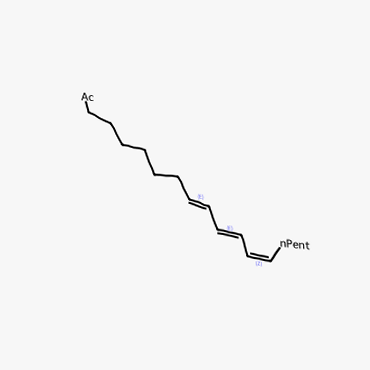 CCCCC\C=C/C=C/C=C/CCCCCCC(C)=O